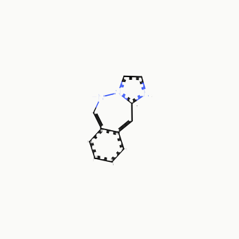 C1=c2ccccc2=Cc2nccn2N1